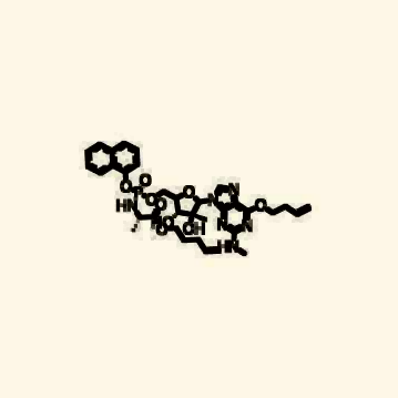 C=CCCCOC(=O)[C@H](C)NP(=O)(OCC1OC(n2cnc3c(OCCC=C)nc(NC)nc32)[C@](C)(O)[C@@H]1O)Oc1cccc2ccccc12